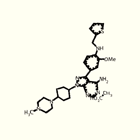 CC(=O)O.COc1cc(-c2nn(C3CCC(N4CCN(C)CC4)CC3)c3ncnc(N)c23)ccc1NCc1cccs1